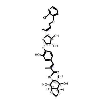 C/C(=C\c1ccc(O[C@@H]2O[C@H](/C(C)=C/COc3cccnc3Cl)[C@@H](O)[C@@H]2O)c(O)c1)C(=O)N[C@@H]1[C@H](O)[C@@H](O)[C@H]2OCO[C@H]2[C@@H]1O